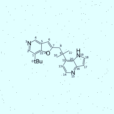 CC(C)(C)c1cncc2cc(CC(C)(C)c3ccnc4cc[nH]c34)oc12